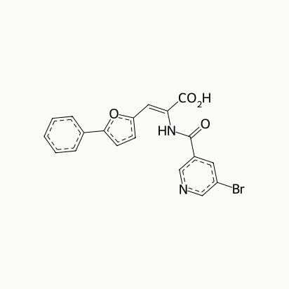 O=C(O)C(=Cc1ccc(-c2ccccc2)o1)NC(=O)c1cncc(Br)c1